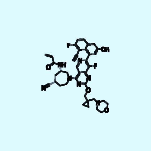 C#Cc1c(F)ccc2cc(O)cc(-c3ncc4c(N5CC[C@H](C#N)C[C@H](NC(=O)C=C)C5)nc(OCC5(CN6CCOCC6)CC5)nc4c3F)c12